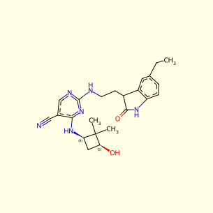 CCc1ccc2c(c1)C(CCNc1ncc(C#N)c(N[C@@H]3C[C@H](O)C3(C)C)n1)C(=O)N2